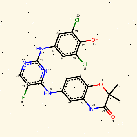 CC1(C)Oc2ccc(Nc3nc(Nc4cc(Cl)c(O)c(Cl)c4)ncc3F)cc2NC1=O